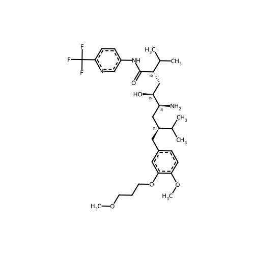 COCCCOc1cc(C[C@@H](C[C@H](N)[C@@H](O)C[C@H](C(=O)Nc2ccc(C(F)(F)F)nc2)C(C)C)C(C)C)ccc1OC